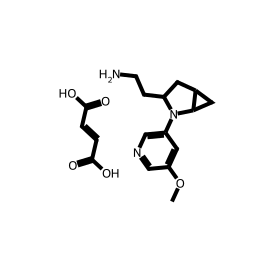 COc1cncc(N2C(CCN)CC3CC32)c1.O=C(O)C=CC(=O)O